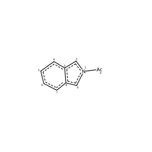 CC(=O)n1cc2ccccc2c1